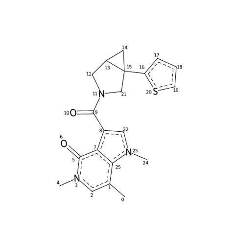 Cc1cn(C)c(=O)c2c(C(=O)N3CC4CC4(c4cccs4)C3)cn(C)c12